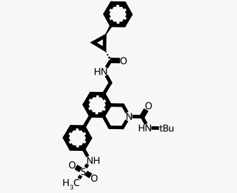 CC(C)(C)NC(=O)N1CCc2c(-c3cccc(NS(C)(=O)=O)c3)ccc(CNC(=O)[C@@H]3C[C@H]3c3ccccc3)c2C1